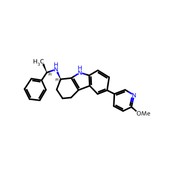 COc1ccc(-c2ccc3[nH]c4c(c3c2)CCC[C@H]4N[C@H](C)c2ccccc2)cn1